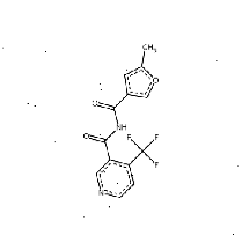 Cc1cc(C(=O)NC(=O)c2cnccc2C(F)(F)F)co1